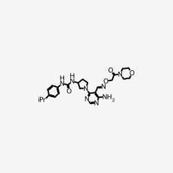 CC(C)c1ccc(NC(=O)NC2CCN(c3ncnc(N)c3C=NOCC(=O)N3CCOCC3)C2)cc1